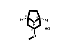 CO[C@H]1C[C@H]2CC[C@@H](C1)N2.Cl